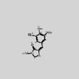 CCCN1CSC(=Cc2cc(C(C)(C)C)c(O)c(C(C)(C)C)c2)C1=O